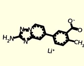 Cc1ccc(-c2ccn3nc(N)nc3c2)cc1C(=O)[O-].[Li+]